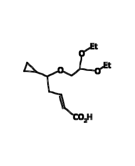 CCOC(COC(CC=CC(=O)O)C1CC1)OCC